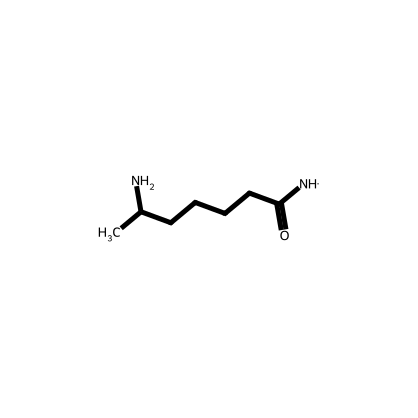 CC(N)CCCCC([NH])=O